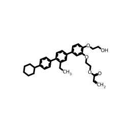 C=CC(=O)OCCOc1cc(-c2ccc(-c3ccc(C4CCCCC4)cc3)c(CC)c2)ccc1OCCO